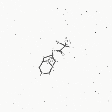 CN1C2CSCC1CC(OC(=O)C(C)(F)F)C2